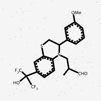 COc1cccc(C2CSc3cc(C(O)(C(F)(F)F)C(F)(F)F)ccc3N2CC(C)C=O)c1